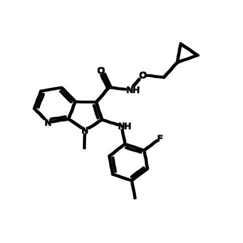 Cc1ccc(Nc2c(C(=O)NOCC3CC3)c3cccnc3n2C)c(F)c1